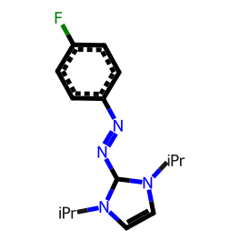 CC(C)N1C=CN(C(C)C)C1N=Nc1ccc(F)cc1